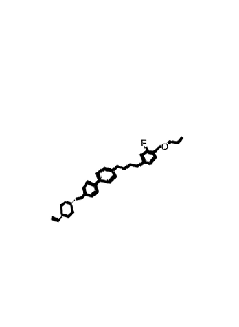 C=C[C@H]1CC[C@H](CCc2ccc(-c3ccc(CCCCc4ccc(COCCC)c(F)c4)cc3)cc2)CC1